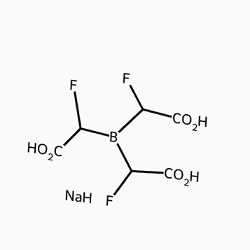 O=C(O)C(F)B(C(F)C(=O)O)C(F)C(=O)O.[NaH]